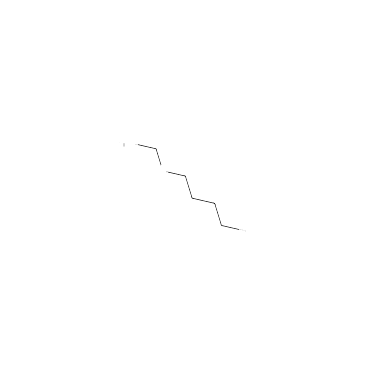 CCCCCOCCCCN